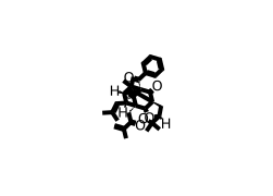 C=C(C)C(=O)C[C@@]12C(=O)[C@]3(C(=O)c4ccccc4)C(=O)[C@]4(C[C@H]([C@@H]1C=C(C)C)C3(C)C)C[C@H]1O[C@]42OC1(C)C